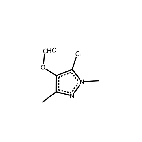 Cc1nn(C)c(Cl)c1OC=O